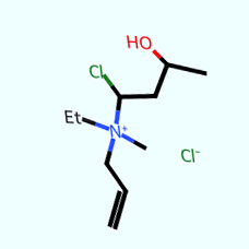 C=CC[N+](C)(CC)C(Cl)CC(C)O.[Cl-]